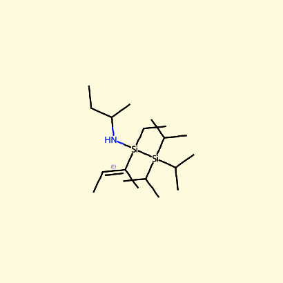 C/C=C(\C)[Si](CC)(NC(C)CC)[Si](C(C)C)(C(C)C)C(C)C